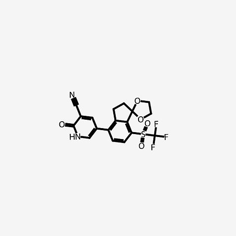 N#Cc1cc(-c2ccc(S(=O)(=O)C(F)(F)F)c3c2CCC32OCCO2)c[nH]c1=O